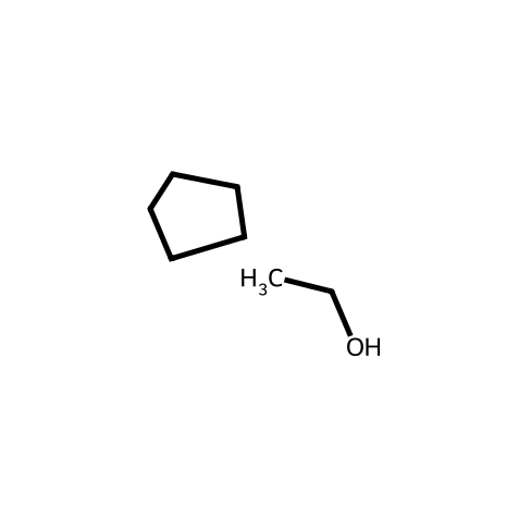 C1CCCC1.CCO